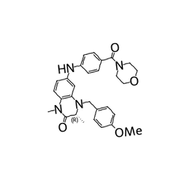 COc1ccc(CN2c3cc(Nc4ccc(C(=O)N5CCOCC5)cc4)ccc3N(C)C(=O)[C@H]2C)cc1